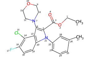 CCOC(=O)c1c(N2CCOCC2)c2c(Cl)c(F)ccc2n1-c1cccc(C)c1